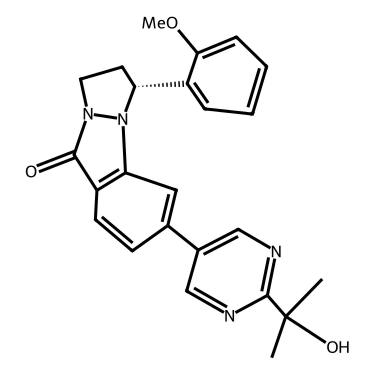 COc1ccccc1[C@H]1CCn2c(=O)c3ccc(-c4cnc(C(C)(C)O)nc4)cc3n21